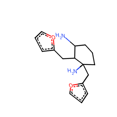 NC1CCCC(N)(Cc2ccco2)C1Cc1ccco1